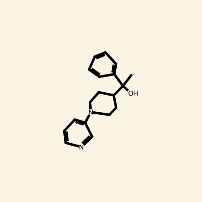 [CH2]C(O)(c1ccccc1)C1CCN(c2cccnc2)CC1